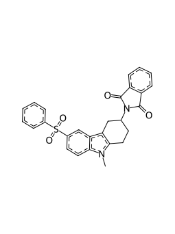 Cn1c2c(c3cc(S(=O)(=O)c4ccccc4)ccc31)CC(N1C(=O)c3ccccc3C1=O)CC2